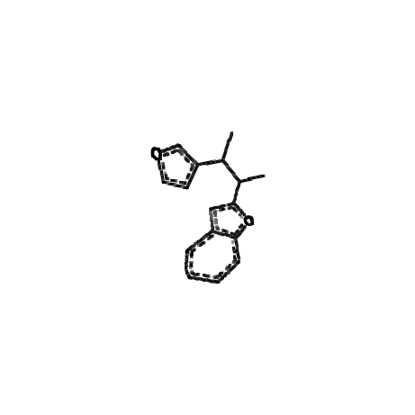 CC(c1ccoc1)C(C)c1cc2ccccc2o1